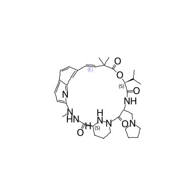 CC(C)[C@@H]1OC(=O)C(C)(C)/C=C/c2ccc3ccc(nc3c2)N(C)NC(=O)[C@@H]2CCCN(N2)C(=O)C(CN2CCCC2)NC1=O